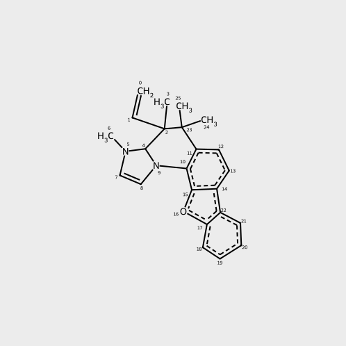 C=CC1(C)C2N(C)C=CN2c2c(ccc3c2oc2ccccc23)C1(C)C